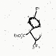 CCOC(=O)[C@@H](c1ccc(F)cc1)[C@@H](C)C(F)(F)F